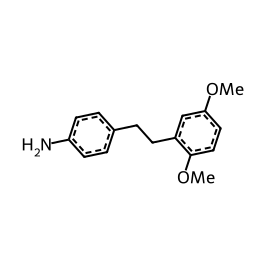 COc1ccc(OC)c(CCc2ccc(N)cc2)c1